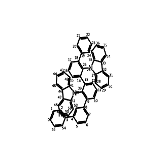 c1ccc(-c2cccc(-c3cccc(-c4cccc(-c5ccccc5)c4-n4c5ccccc5c5ccccc54)c3-n3c4ccccc4c4cnccc43)c2)cc1